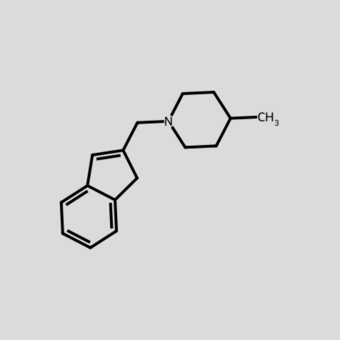 CC1CCN(CC2=Cc3ccccc3C2)CC1